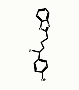 Oc1ccc(C(Br)CCCc2nc3ccccc3o2)cc1